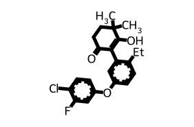 CCc1ccc(Oc2ccc(Cl)c(F)c2)cc1C1=C(O)C(C)(C)CCC1=O